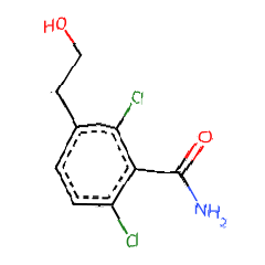 NC(=O)c1c(Cl)ccc([CH]CO)c1Cl